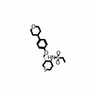 CCS(=O)(=O)N[C@H]1CCSC[C@@H]1COc1ccc(C2CCOCC2)cc1